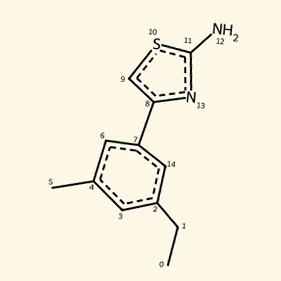 CCc1cc(C)cc(-c2csc(N)n2)c1